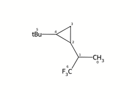 CC(C1CC1C(C)(C)C)C(F)(F)F